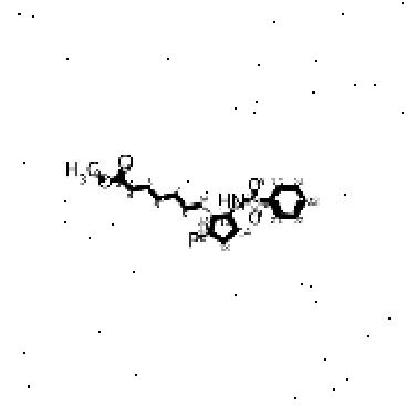 COC(=O)CCCCCC[C@H]1[C@H](F)CC[C@@H]1NS(=O)(=O)c1ccccc1